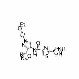 CCO[C@H]1C[C@@H](n2cc(NC(=O)c3csc(-c4cn[nH]c4)n3)c(-c3nnco3)n2)C1